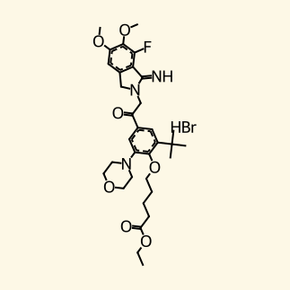 Br.CCOC(=O)CCCCOc1c(N2CCOCC2)cc(C(=O)CN2Cc3cc(OC)c(OC)c(F)c3C2=N)cc1C(C)(C)C